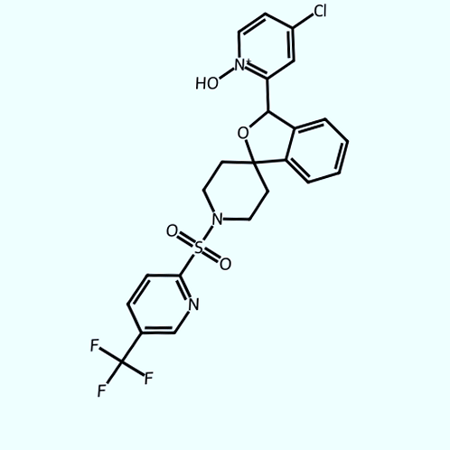 O=S(=O)(c1ccc(C(F)(F)F)cn1)N1CCC2(CC1)OC(c1cc(Cl)cc[n+]1O)c1ccccc12